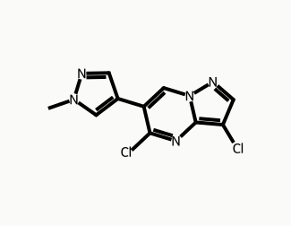 Cn1cc(-c2cn3ncc(Cl)c3nc2Cl)cn1